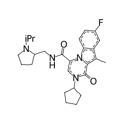 Cc1c2cc(F)ccc2n2c(C(=O)NCC3CCCN3C(C)C)cn(C3CCCC3)c(=O)c12